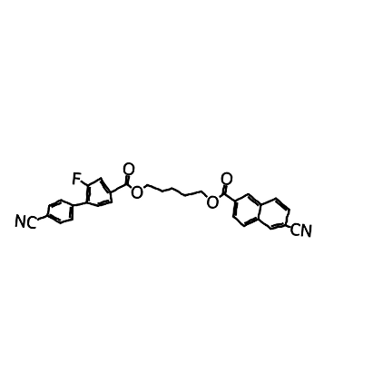 N#Cc1ccc(-c2ccc(C(=O)OCCCCCOC(=O)c3ccc4cc(C#N)ccc4c3)cc2F)cc1